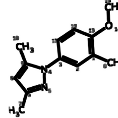 [CH2]c1cc(-n2nc(C)cc2C)ccc1OC